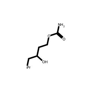 CC(C)CC(O)CCOC(N)=O